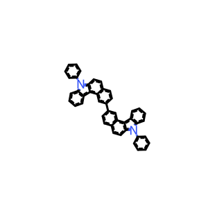 c1ccc(-n2c3ccccc3c3c4cc(-c5ccc6ccc7c(c6c5)c5ccccc5n7-c5ccccc5)ccc4ccc32)cc1